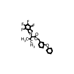 CC(C)C(C(=O)OCc1cccc(Oc2ccccc2)c1)N1Cc2c(F)c(F)c(F)c(F)c2C1